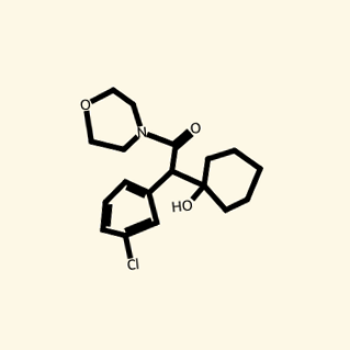 O=C(C(c1cccc(Cl)c1)C1(O)CCCCC1)N1CCOCC1